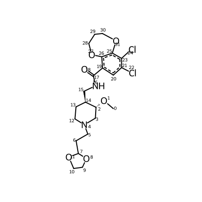 CO[C@@H]1CN(CCC2OCCO2)CC[C@H]1CNC(=O)c1cc(Cl)c(Cl)c2c1OCCCO2